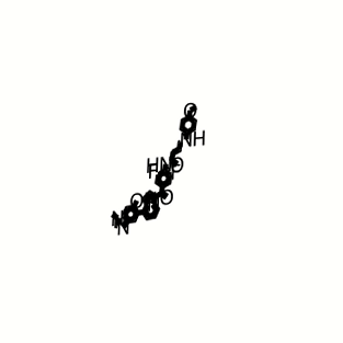 COC1CCC(NC/C=C/C(=O)Nc2c(F)cc(C(=O)c3ccc4c(-c5cc6ncn(C)c6cc5O)cccn34)cc2F)CC1